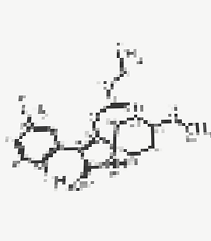 CCOC(=O)OC1=C(c2cc(C)ccc2C)C(=O)N[C@]12CC[C@H](OC)CC2